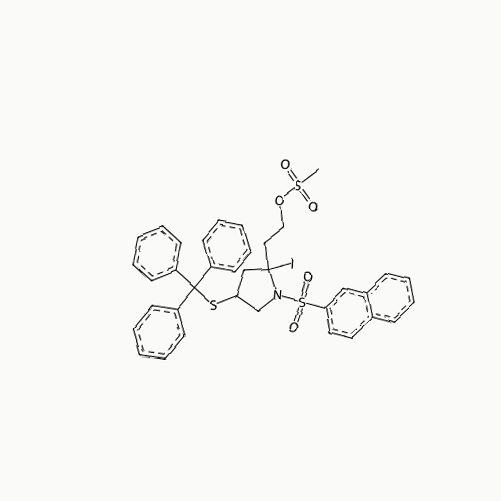 CS(=O)(=O)OCCC1(I)CC(SC(c2ccccc2)(c2ccccc2)c2ccccc2)CN1S(=O)(=O)c1ccc2ccccc2c1